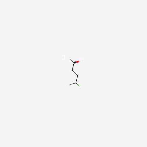 CC(=O)CCC(Cl)Br